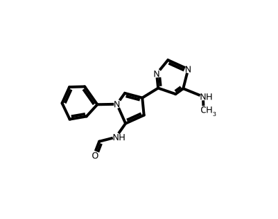 CNc1cc(-c2cc(NC=O)n(-c3ccccc3)c2)ncn1